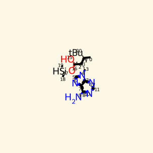 C[C@H]([C@H](Cn1cnc2c(N)ncnc21)C(O)O[SiH](C)C)C(C)(C)C